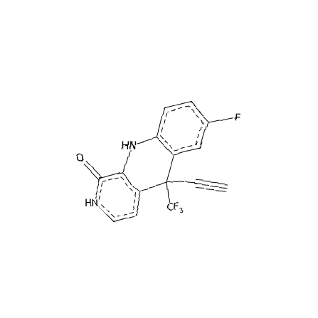 C#CC1(C(F)(F)F)c2cc(F)ccc2Nc2c1cc[nH]c2=O